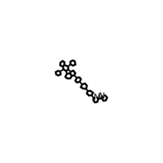 c1ccc(-c2c3c(c(-c4ccccc4)c4ccccc24)-c2ccc(-c4ccc(-c5ccc(-c6ccc(-c7cccc(-c8ccccn8)n7)cc6)cc5)cc4)c4cccc-3c24)cc1